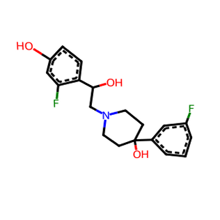 Oc1ccc(C(O)CN2CCC(O)(c3cccc(F)c3)CC2)c(F)c1